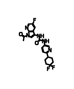 CC(=O)n1cc(NC(=O)Nc2ccc(C3CCC(F)(F)CC3)nc2)c2cc(F)cnc21